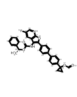 C[C@@H](OC(=O)Nc1c(-c2ccc(-c3ccc(C4(OC=O)CC4)cc3)cc2)oc2ncc(F)cc12)c1ccccc1